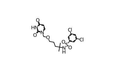 CC(C)(CCCOCn1ccc(=O)[nH]c1=O)NS(=O)(=O)c1cc(Cl)cc(Cl)c1